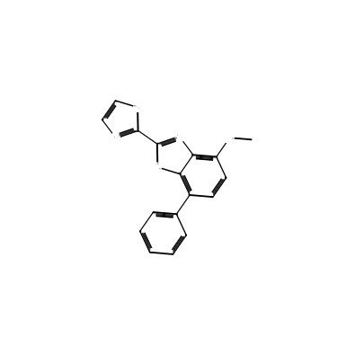 COc1ccc(-c2ccccc2)c2sc(-c3ncc[nH]3)nc12